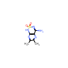 Cc1nc2c(nc1C)C(N)=NS(=O)(=O)N2